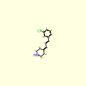 Clc1cccc(C=CC=C2CCNCC2)c1